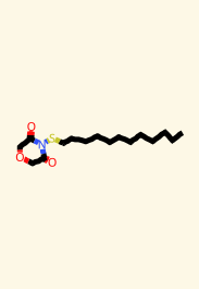 CCCCCCCCCCCCSN1C(=O)COCC1=O